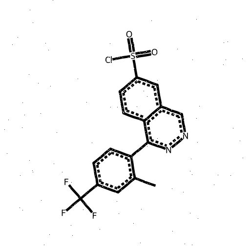 Cc1cc(C(F)(F)F)ccc1-c1nncc2cc(S(=O)(=O)Cl)ccc12